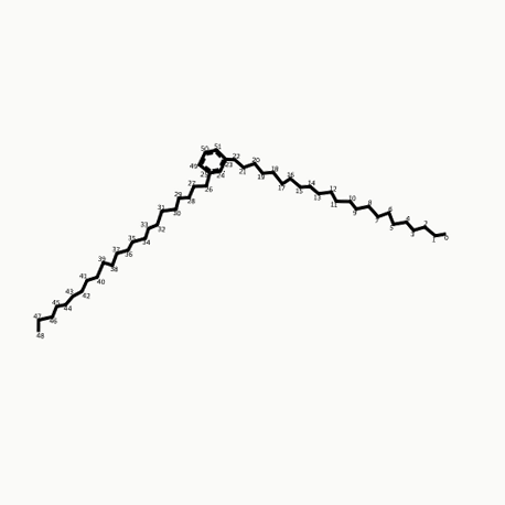 CCCCCCCCCCCCCCCCCCCCCCCc1[c]c(CCCCCCCCCCCCCCCCCCCCCCC)ccc1